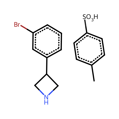 Brc1cccc(C2CNC2)c1.Cc1ccc(S(=O)(=O)O)cc1